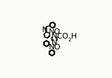 O=C(O)[C@@H]1CN(C(=O)N(c2ccccc2)c2ccccc2)CCN1C(=O)N1c2ccccc2C=NC2C=CC=CC21